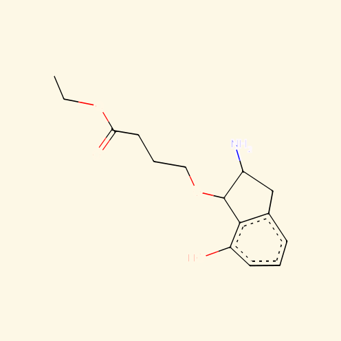 CCOC(=O)CCCOC1c2c(O)cccc2CC1N